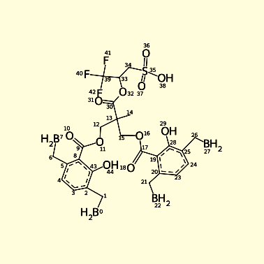 BCc1ccc(CB)c(C(=O)OCC(C)(COC(=O)c2c(CB)ccc(CB)c2O)C(=O)OC(CS(=O)(=O)O)C(F)(F)F)c1O